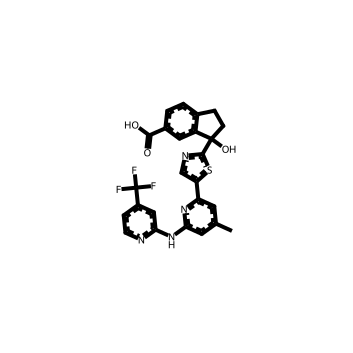 Cc1cc(Nc2cc(C(F)(F)F)ccn2)nc(-c2cnc(C3(O)CCc4ccc(C(=O)O)cc43)s2)c1